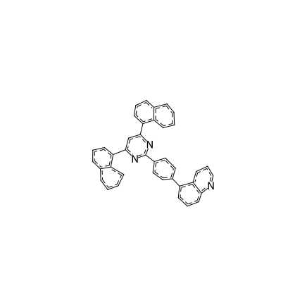 c1ccc2c(-c3cc(-c4cccc5ccccc45)nc(-c4ccc(-c5cccc6ncccc56)cc4)n3)cccc2c1